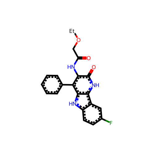 CCOCC(=O)Nc1c(-c2ccccc2)c2[nH]c3ccc(F)cc3c2[nH]c1=O